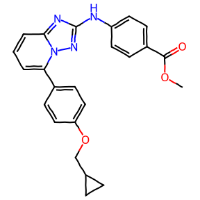 COC(=O)c1ccc(Nc2nc3cccc(-c4ccc(OCC5CC5)cc4)n3n2)cc1